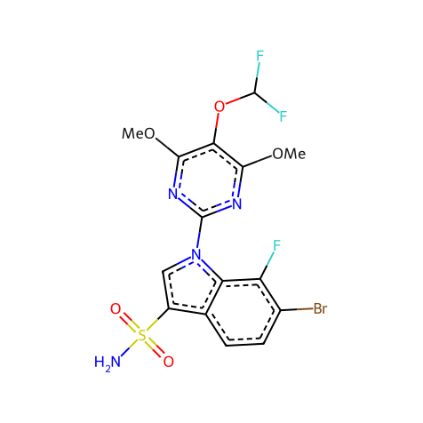 COc1nc(-n2cc(S(N)(=O)=O)c3ccc(Br)c(F)c32)nc(OC)c1OC(F)F